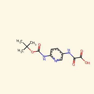 CC(C)(C)OC(=O)Nc1ccc(NC(=O)C(=O)O)cn1